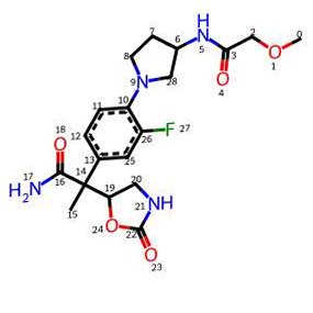 COCC(=O)NC1CCN(c2ccc(C(C)(C(N)=O)C3CNC(=O)O3)cc2F)C1